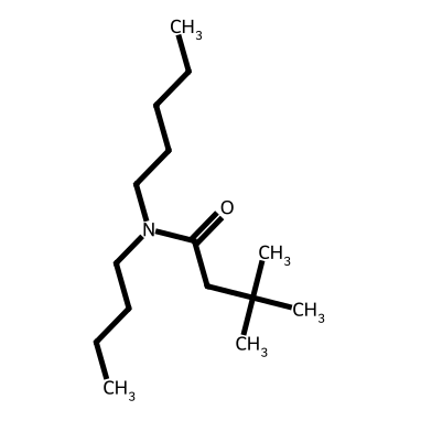 CCCCCN(CCCC)C(=O)CC(C)(C)C